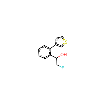 OC(CF)c1ccccc1-c1ccsc1